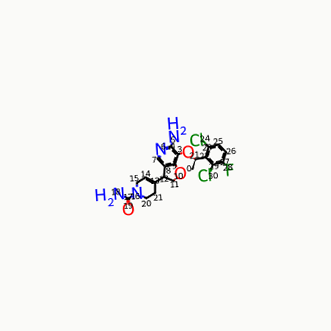 C[C@@H](Oc1c(N)ncc2c1OCC2C1=CCN(C(N)=O)CC1)c1c(Cl)ccc(F)c1Cl